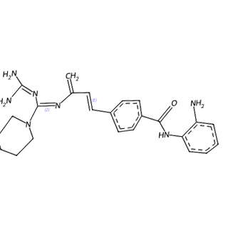 C=C(/C=C/c1ccc(C(=O)Nc2ccccc2N)cc1)/N=C(\N=C(N)N)N1CCCCC1